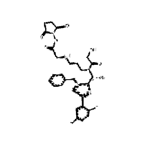 CC(C)(C)[C@H](c1nc(-c2cc(F)ccc2F)cn1Cc1ccccc1)N(CCCNCC(=O)ON1C(=O)CCC1=O)C(=O)CO